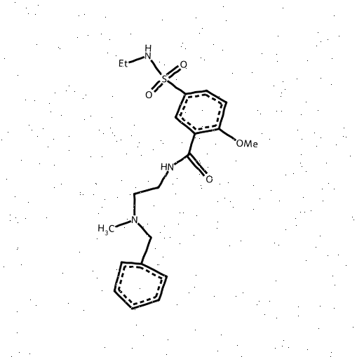 CCNS(=O)(=O)c1ccc(OC)c(C(=O)NCCN(C)Cc2ccccc2)c1